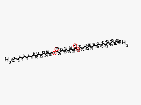 CCCCCCCCCCCCCCCCCCOC(=O)CCCCCCCC(=O)OCCCCCCCCCCCCCCCCCC